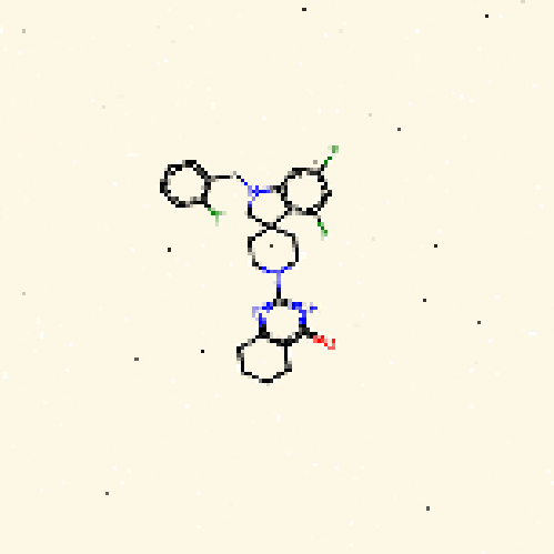 O=c1[nH]c(N2CCC3(CC2)CN(Cc2ccccc2F)c2cc(F)cc(F)c23)nc2c1CCCC2